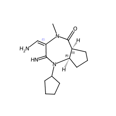 CN1C(=O)[C@H]2CCC[C@H]2N(C2CCCC2)C(=N)/C1=C\N